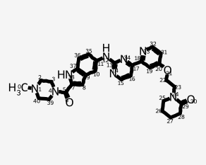 CN1CCN(C(=O)c2cc3cc(Nc4nccc(-c5cc(OCCN6CCCCC6=O)ccn5)n4)ccc3[nH]2)CC1